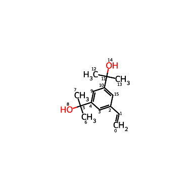 C=Cc1cc(C(C)(C)O)cc(C(C)(C)O)c1